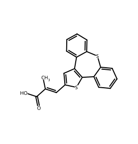 C/C(=C\c1cc2c(s1)-c1ccccc1Sc1ccccc1-2)C(=O)O